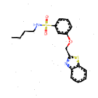 CCCCNS(=O)(=O)c1cccc(OCc2nc3ccccc3s2)c1